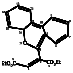 CCOC(=O)/C=C(/C(=O)OCC)C1=c2ccccc2=C2C=CC=CC2O1